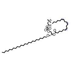 CCCCC/C=C\C/C=C\C/C=C\CCCCC(=O)O[C@H](COCCCCCCCCCCCCCCCCCCCCCCCC)COP(=O)(O)OCC[N+](C)(C)C